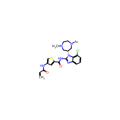 C=CC(=O)Nc1csc(C(=O)Nc2nc3cccc(Cl)c3n2[C@@H]2CN(C)CCN(C(C)=O)C2)c1